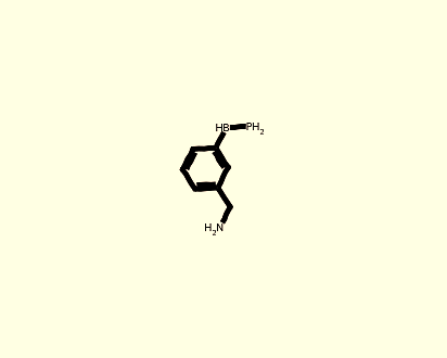 NCc1cccc(BP)c1